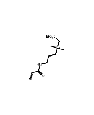 C=CC(=O)NCCC[N+](C)(C)CC(=O)OCC